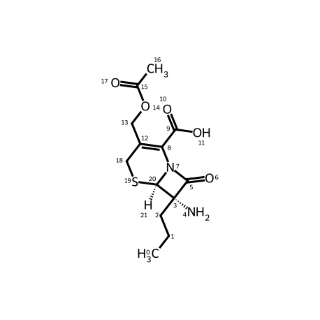 CCC[C@]1(N)C(=O)N2C(C(=O)O)=C(COC(C)=O)CS[C@@H]21